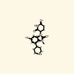 Cn1c(=O)n(C2CCC(=O)NC2=O)c2cc(F)cc(C3CCNCC3)c21